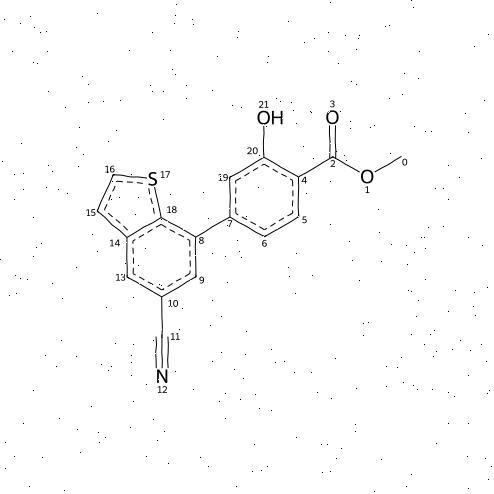 COC(=O)c1ccc(-c2cc(C#N)cc3ccsc23)cc1O